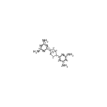 Nc1nc(N)nc(C2CC3CC2CC3c2nc(N)nc(N)n2)n1